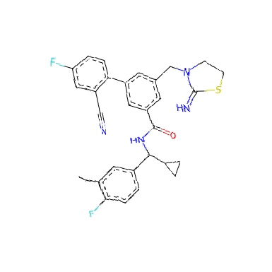 Cc1cc(C(NC(=O)c2cc(CN3CCSC3=N)cc(-c3ccc(F)cc3C#N)c2)C2CC2)ccc1F